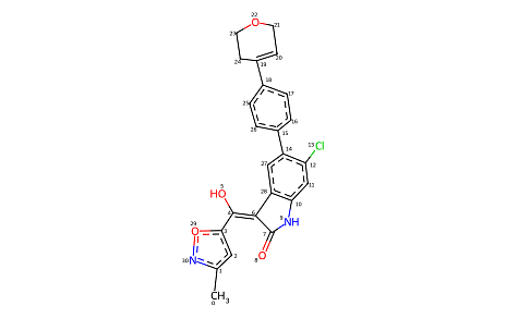 Cc1cc(/C(O)=C2\C(=O)Nc3cc(Cl)c(-c4ccc(C5=CCOCC5)cc4)cc32)on1